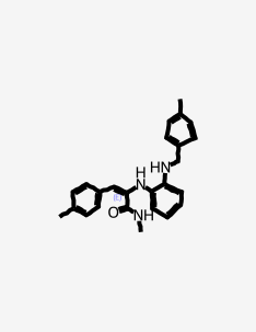 CNC(=O)/C(=C\c1ccc(C)cc1)Nc1ccccc1NCc1ccc(C)cc1